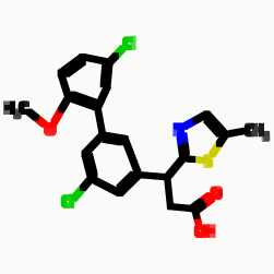 COc1ccc(Cl)cc1-c1cc(Cl)cc(C(CC(=O)O)c2ncc(C)s2)c1